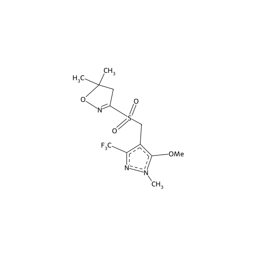 COc1c(CS(=O)(=O)C2=NOC(C)(C)C2)c(C(F)(F)F)nn1C